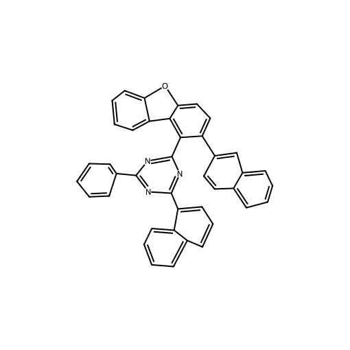 c1ccc(-c2nc(-c3cccc4ccccc34)nc(-c3c(-c4ccc5ccccc5c4)ccc4oc5ccccc5c34)n2)cc1